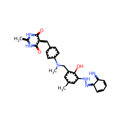 C=c1[nH]c(=O)c(=Cc2ccc(N(C)Cc3cc(C)cc(N/N=C4/C=CC=CC4=N)c3O)cc2)c(=O)[nH]1